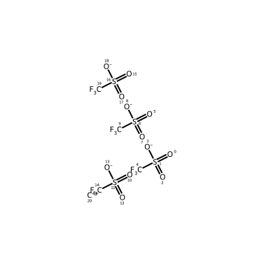 O=S(=O)([O-])C(F)(F)F.O=S(=O)([O-])C(F)(F)F.O=S(=O)([O-])C(F)(F)F.O=S(=O)([O-])C(F)(F)F.[C+4]